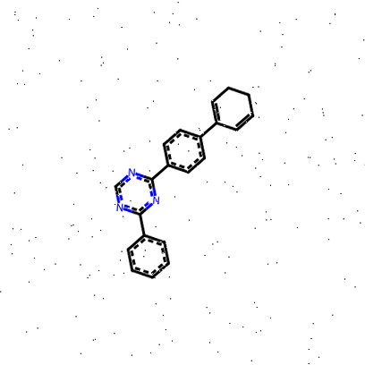 C1=CC(c2ccc(-c3ncnc(-c4ccccc4)n3)cc2)=CCC1